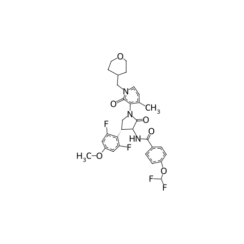 COc1cc(F)c([C@@H]2CN(c3c(C)ccn(CC4CCOCC4)c3=O)C(=O)C2NC(=O)c2ccc(OC(F)F)cc2)c(F)c1